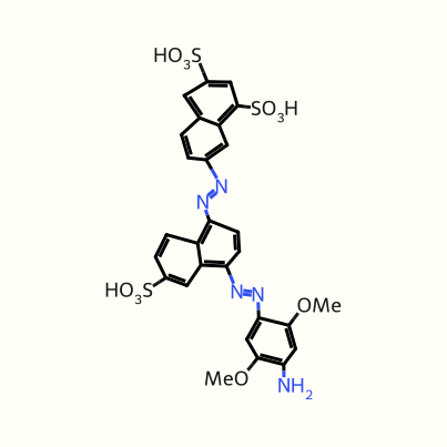 COc1cc(N=Nc2ccc(N=Nc3ccc4cc(S(=O)(=O)O)cc(S(=O)(=O)O)c4c3)c3ccc(S(=O)(=O)O)cc23)c(OC)cc1N